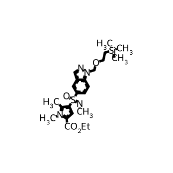 CCOC(=O)c1cc(S(=O)(=NC)c2ccc3c(cnn3COCC[Si](C)(C)C)c2)c(C)n1C